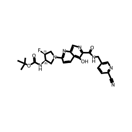 CC(C)(C)OC(=O)N[C@@H]1CN(c2ccc3c(O)c(C(=O)NCc4ccc(C#N)nc4)ncc3n2)C[C@@H]1F